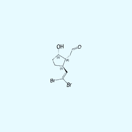 O=CC[C@H]1[C@@H](O)CC[C@@H]1C=C(Br)Br